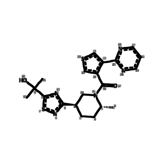 C[C@@H]1CC[C@@H](c2nsc(C(C)(C)O)n2)CN1C(=O)c1cscc1-c1ncccn1